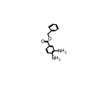 Nc1ccc(C(=O)OCc2ccccc2)cc1N